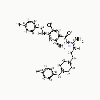 N/C(=N\C(=O)c1nc(Cl)c(NCc2ccc(I)cc2)nc1N)NCCN1CCN(Cc2ccc(F)cc2)CC1